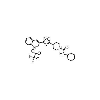 O=C(NC1CCCCC1)N1CCC(c2nc(-c3cc4ccccc4[n+](OC(=O)C(F)(F)F)c3)no2)CC1